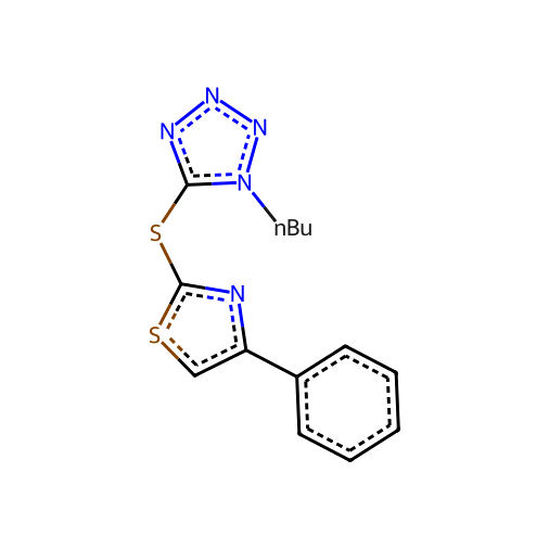 CCCCn1nnnc1Sc1nc(-c2ccccc2)cs1